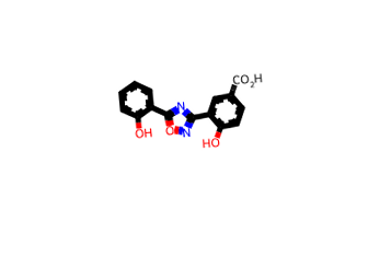 O=C(O)c1ccc(O)c(-c2noc(-c3ccccc3O)n2)c1